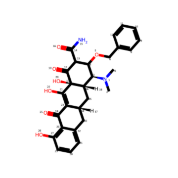 CN(C)[C@@H]1C(OCc2ccccc2)C(C(N)=O)C(=O)[C@@]2(O)C(O)=C3C(=O)c4c(O)cccc4C[C@H]3C[C@@H]12